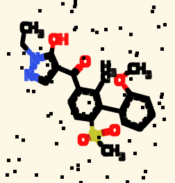 CCn1ncc(C(=O)c2ccc(S(C)(=O)=O)c(-c3ccccc3OC)c2C)c1O